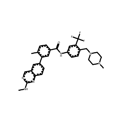 CNc1ncc2cc(-c3cc(C(=O)Nc4ccc(CN5CCN(C)CC5)c(C(F)(F)F)c4)ccc3C)ccc2n1